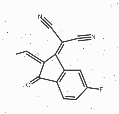 C/C=C1\C(=O)c2ccc(F)cc2C1=C(C#N)C#N